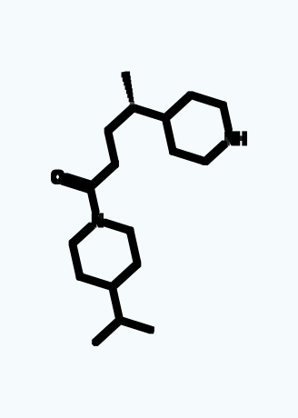 CC(C)C1CCN(C(=O)CC[C@H](C)C2CCNCC2)CC1